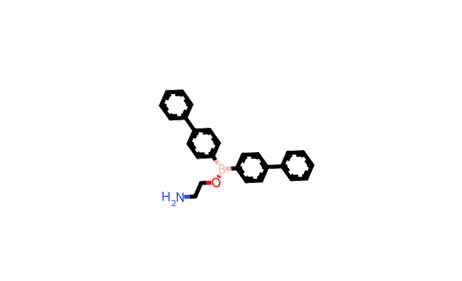 NCCOB(c1ccc(-c2ccccc2)cc1)c1ccc(-c2ccccc2)cc1